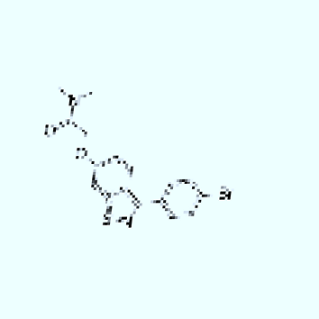 CN(C)C(=O)COc1ccc2c(-c3ccc(Br)cc3)nsc2c1